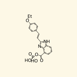 CCOc1ccc(/C=C/c2nc3c(C(=O)OP(=O)(O)O)cccc3[nH]2)cc1